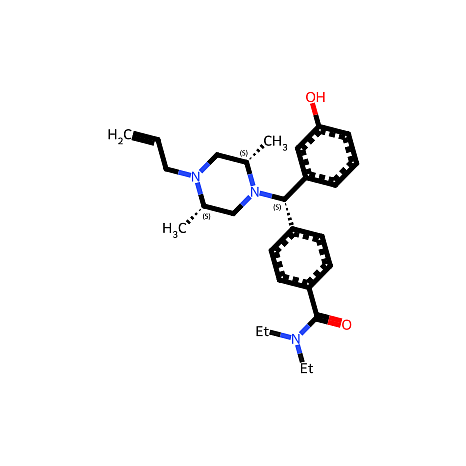 C=CCN1C[C@H](C)N([C@@H](c2ccc(C(=O)N(CC)CC)cc2)c2cccc(O)c2)C[C@@H]1C